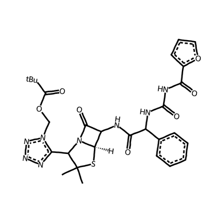 CC(C)(C)C(=O)OCn1nnnc1C1N2C(=O)C(NC(=O)C(NC(=O)NC(=O)c3ccco3)c3ccccc3)[C@H]2SC1(C)C